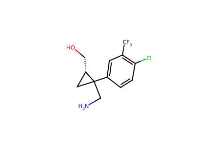 NCC1(c2ccc(Cl)c(C(F)(F)F)c2)C[C@@H]1CO